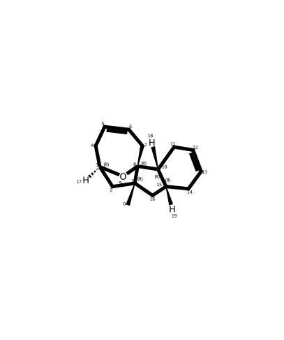 C[C@@]12C[C@H]3CC=CC[C@@]1(O3)[C@@H]1CC=CC[C@@H]1C2